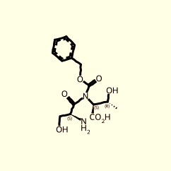 C[C@@H](O)[C@@H](C(=O)O)N(C(=O)OCc1ccccc1)C(=O)[C@@H](N)CO